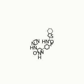 O=C(Nc1cc(-c2cc(Nc3cnccn3)c(=O)[nH]n2)ccc1F)c1cc2c(s1)CCCC2